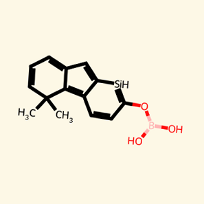 CC1(C)C=CC=C2C=c3[siH]c(OB(O)O)ccc3=C21